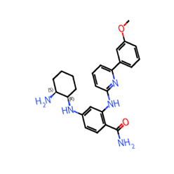 COc1cccc(-c2cccc(Nc3cc(N[C@@H]4CCCC[C@@H]4N)ccc3C(N)=O)n2)c1